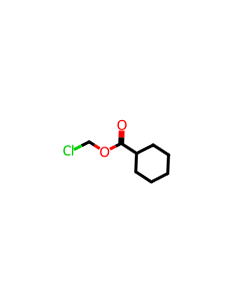 O=C(OCCl)C1CCCCC1